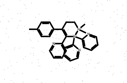 Cc1ccc(C2=C(c3ccccn3)[B-](c3ccccn3)(c3ccccn3)[N+](C)(C)CC2)cc1